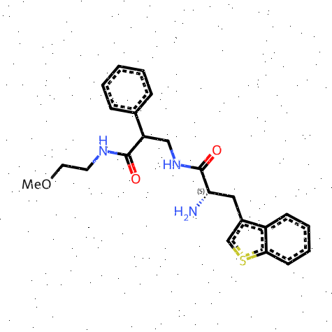 COCCNC(=O)C(CNC(=O)[C@@H](N)Cc1csc2ccccc12)c1ccccc1